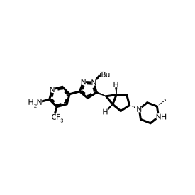 CCC(C)n1nc(-c2cnc(N)c(C(F)(F)F)c2)cc1[C@H]1[C@@H]2C[C@H](N3CCN[C@@H](C)C3)C[C@@H]21